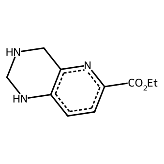 CCOC(=O)c1ccc2c(n1)CNCN2